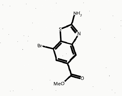 COC(=O)c1cc(Br)c2sc(N)nc2c1